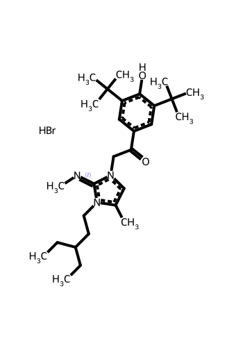 Br.CCC(CC)CCn1c(C)cn(CC(=O)c2cc(C(C)(C)C)c(O)c(C(C)(C)C)c2)/c1=N/C